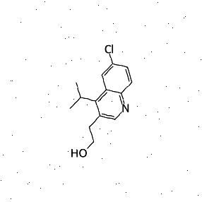 CC(C)c1c(CCO)cnc2ccc(Cl)cc12